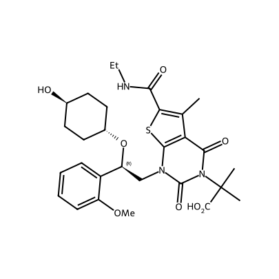 CCNC(=O)c1sc2c(c1C)c(=O)n(C(C)(C)C(=O)O)c(=O)n2C[C@H](O[C@H]1CC[C@H](O)CC1)c1ccccc1OC